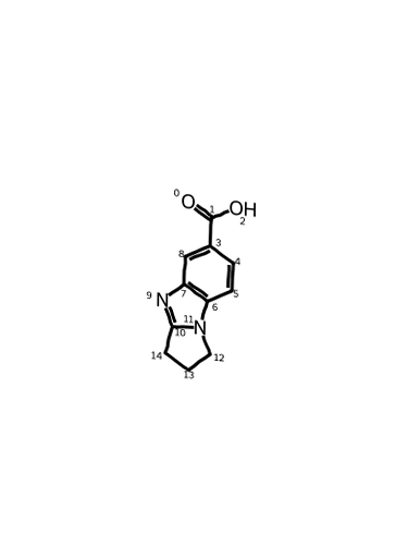 O=C(O)c1ccc2c(c1)nc1n2CCC1